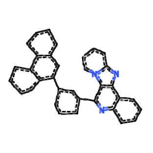 c1cc(-c2cc3ccccc3c3ccccc23)cc(-c2nc3ccccc3c3nc4ccccn4c23)c1